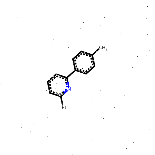 CCc1cccc(-c2ccc(C)cc2)n1